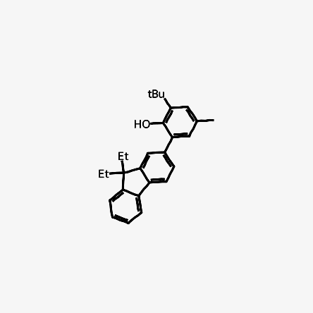 CCC1(CC)c2ccccc2-c2ccc(-c3cc(C)cc(C(C)(C)C)c3O)cc21